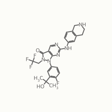 CC(C)(O)c1cc(-n2c3nc(Nc4ccc5c(c4)CCNC5)ncc3c(=O)n2CC(F)(F)F)ccc1F